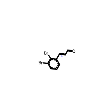 O=C/C=C/c1cccc(Br)c1Br